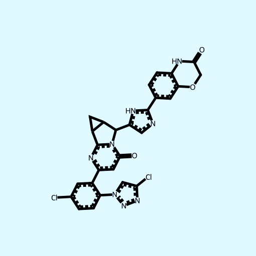 O=C1COc2cc(-c3ncc(C4C5CC5c5nc(-c6cc(Cl)ccc6-n6cc(Cl)nn6)cc(=O)n54)[nH]3)ccc2N1